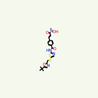 CN(O)C(=O)/C=C/c1ccc(C(=O)Nc2ncc(SCc3ncc(C(C)(C)C)o3)s2)cc1